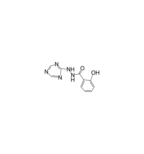 O=C(NNc1ncncn1)c1ccccc1O